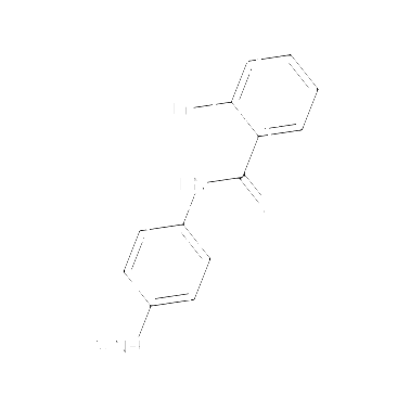 CC(=O)Nc1ccc(NC(=O)c2ccccc2Br)cc1